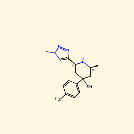 C[C@H]1CC(C#N)(c2ccc(C(F)(F)F)cc2)C[C@@H](c2cn(C)nn2)N1